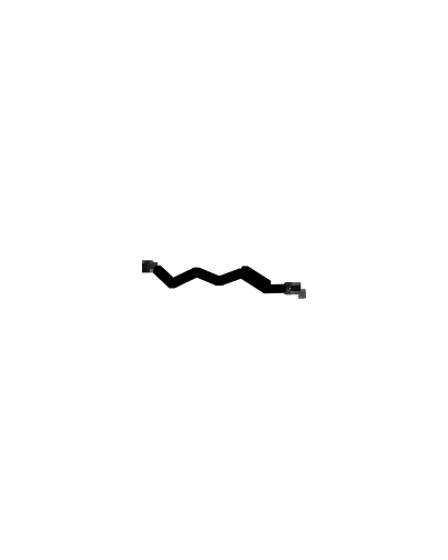 C/C=C/CCCC(C)C